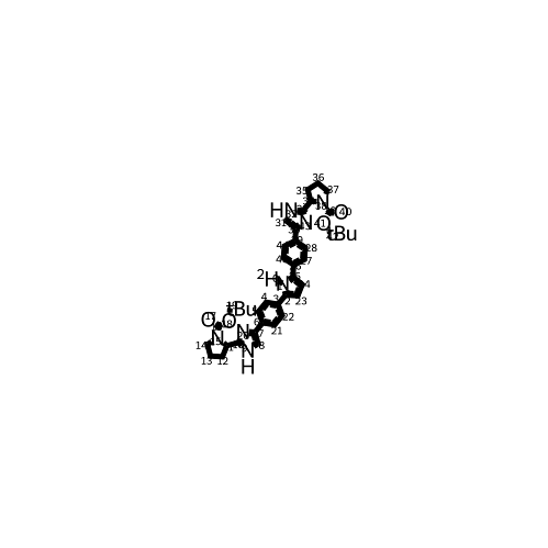 [2H]n1c(-c2ccc(-c3c[nH]c(C4CCCN4C(=O)OC(C)(C)C)n3)cc2)ccc1-c1ccc(-c2c[nH]c(C3CCCN3C(=O)OC(C)(C)C)n2)cc1